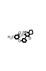 Cc1cc(Cl)cc(Oc2cccc(-c3c(C)[nH]c4c(c3=O)CCCC4)c2)c1